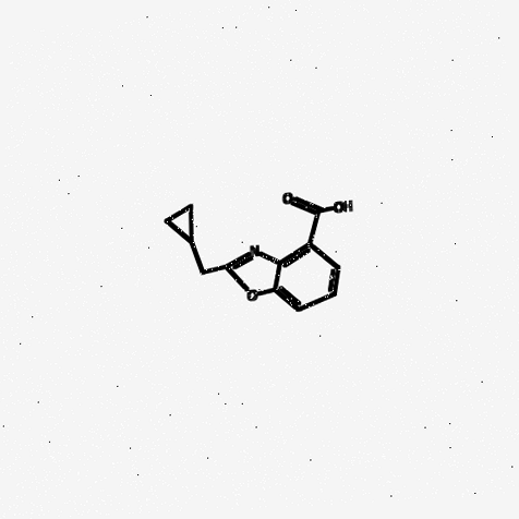 O=C(O)c1cccc2oc(CC3CC3)nc12